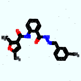 Cc1cccc(/C=N/NC(=O)c2ccccc2NC(=O)c2cc(C)oc2C)c1